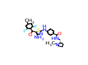 Cc1cc(F)c(C(=O)c2sc(Nc3ccc(C(=O)NC[C@@H]4CCCN4C)cc3)nc2N)c(F)c1